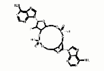 Nc1ncnc2c1ncn2[C@@H]1OC2CO[P@](=O)(S)OC3C(O)C(COP(=O)(O)OC2C1F)O[C@H]3n1cnc2c(N)ncnc21